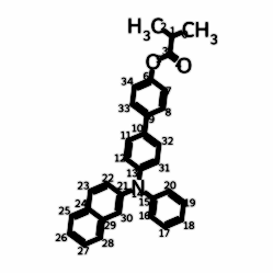 CC(C)C(=O)Oc1ccc(-c2ccc(N(c3ccccc3)c3ccc4ccccc4c3)cc2)cc1